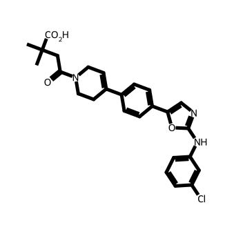 CC(C)(CC(=O)N1CC=C(c2ccc(-c3cnc(Nc4cccc(Cl)c4)o3)cc2)CC1)C(=O)O